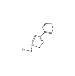 CCON1C=CC(C2=CCCC=C2)=CC1